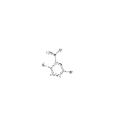 CCC(=O)c1cc(Br)cnc1Br